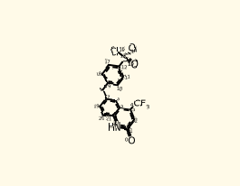 O=c1cc(C(F)(F)F)c2cc(Cc3ccc(S(=O)(=O)Cl)cc3)ccc2[nH]1